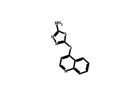 Nc1nnc(Sc2ccnc3ccccc23)s1